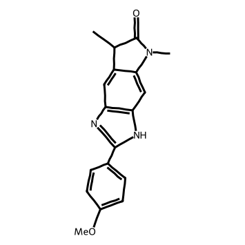 COc1ccc(-c2nc3cc4c(cc3[nH]2)N(C)C(=O)C4C)cc1